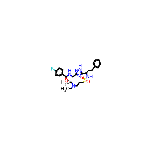 CCN(CC)CCCS(=O)(=O)N[C@H](CCc1ccccc1)c1nc(CNC(=O)c2ccc(F)cc2)n[nH]1